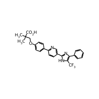 CC(C)(COc1ccc(-c2ccc(-c3nc(-c4ccccc4)c(C(F)(F)F)[nH]3)cn2)cc1)C(=O)O